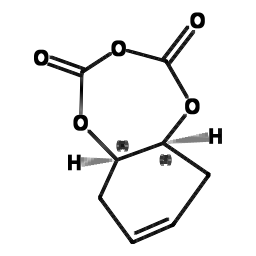 O=C1OC(=O)O[C@@H]2CC=CC[C@@H]2O1